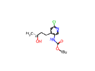 C[C@@H](O)CCc1cc(Cl)ncc1NC(=O)OC(C)(C)C